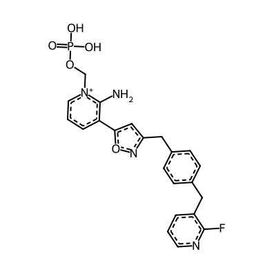 Nc1c(-c2cc(Cc3ccc(Cc4cccnc4F)cc3)no2)ccc[n+]1COP(=O)(O)O